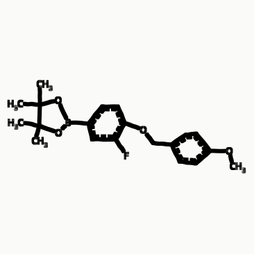 COc1ccc(COc2ccc(B3OC(C)(C)C(C)(C)O3)cc2F)cc1